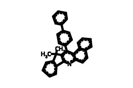 CC1(C)c2ccccc2-c2nc3ccc4ccccc4c3c(-c3ccc(-c4ccccc4)cc3)c21